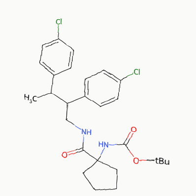 CC(c1ccc(Cl)cc1)C(CNC(=O)C1(NC(=O)OC(C)(C)C)CCCC1)c1ccc(Cl)cc1